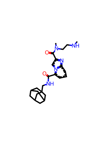 CNCCN(C)C(=O)c1cn2c(C(=O)NCC34CC5CC(CC(C5)C3)C4)cccc2n1